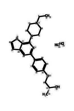 CCN1CCN(c2nc(-c3ccc(OC[C@@H](C)O)cc3)cc3ccoc23)CC1.Cl.Cl